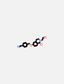 N#Cc1ccc(COc2ccc3c(c2)CCN(CC=O)C3=O)cc1